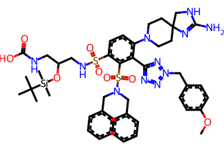 COc1ccc(Cn2nnc(-c3c(N4CCC5(CC4)CNC(N)=N5)ccc(S(=O)(=O)NCC(CNC(=O)O)O[Si](C)(C)C(C)(C)C)c3S(=O)(=O)N(Cc3ccccc3)Cc3ccccc3)n2)cc1